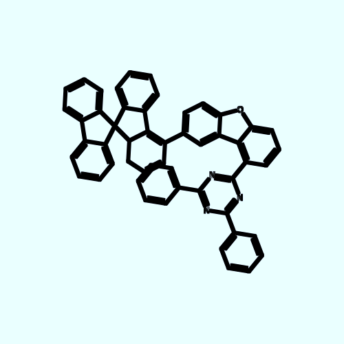 C1=CC(c2ccc3oc4cccc(-c5nc(-c6ccccc6)nc(-c6ccccc6)n5)c4c3c2)=C2c3ccccc3C3(c4ccccc4-c4ccccc43)C2C1